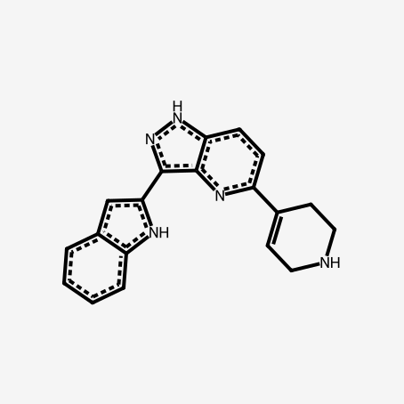 C1=C(c2ccc3[nH]nc(-c4cc5ccccc5[nH]4)c3n2)CCNC1